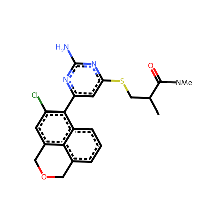 CNC(=O)C(C)CSc1cc(-c2c(Cl)cc3c4c(cccc24)COC3)nc(N)n1